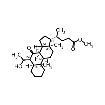 COC(=O)CCC(C)[C@H]1CC[C@H]2[C@@H]3C(=O)[C@H](C(C)O)[C@@H]4CCCC[C@]4(C)[C@H]3CC[C@]12C